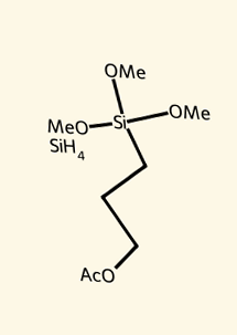 CO[Si](CCCOC(C)=O)(OC)OC.[SiH4]